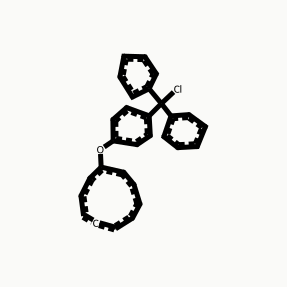 ClC(c1ccccc1)(c1ccccc1)c1ccc(Oc2ccccccccc2)cc1